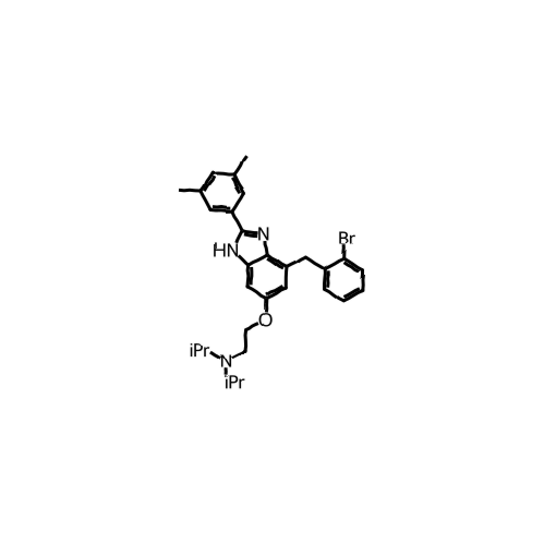 Cc1cc(C)cc(-c2nc3c(Cc4ccccc4Br)cc(OCCN(C(C)C)C(C)C)cc3[nH]2)c1